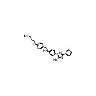 N#CCCCOc1ccc(CNc2ccc(-n3nc(-c4cccnc4)nc3C#N)cc2)cn1